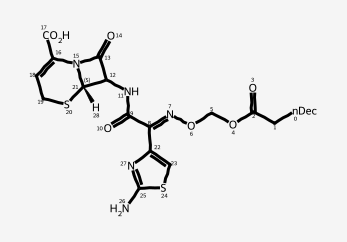 CCCCCCCCCCCC(=O)OCON=C(C(=O)NC1C(=O)N2C(C(=O)O)=CCS[C@@H]12)c1csc(N)n1